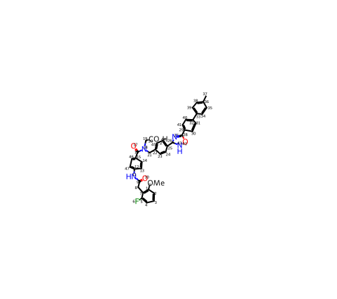 COc1cccc(F)c1CC(=O)Nc1ccc(C(=O)N(CC(=O)O)Cc2ccc(C3N=C(c4ccc(-c5ccc(C)cc5)cc4)ON3)cc2)cc1